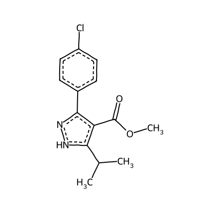 COC(=O)c1c(-c2ccc(Cl)cc2)n[nH]c1C(C)C